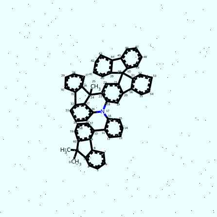 CC1(C)c2ccccc2-c2c(-c3ccccc3N3c4cc5c(cc4C4(C)c6ccccc6-c6cccc3c64)C3(c4ccccc4-c4ccccc43)c3ccccc3-5)cccc21